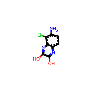 Nc1ccc2nc(O)c(O)nc2c1Cl